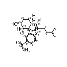 CC(C)=CCN1CCC23c4c5ccc(C(N)=O)c4O[C@H]2[C@H](O)CC[C@@]3(O)[C@H]1C5